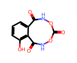 O=c1o[nH]c(=O)c2cccc(O)c2c(=O)[nH]o1